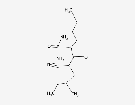 CCCCN(C(=O)C(C#N)CC(C)CC)P(N)(N)=O